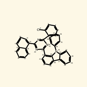 Clc1ccccc1-c1nc(-c2cccc3ccccc23)nc(-c2cccc3c4ccccc4n(-c4ccccc4)c23)n1